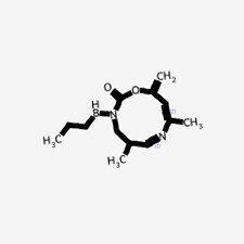 C=C1/C=C(C)\N=C/C(C)CN(BCCC)C(=O)O1